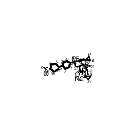 C[S+]([O-])c1ccc(-c2ccc([C@](C#CC3CC3)(C[C@@H](CS(C)(=O)=O)C(=O)NC3(C#N)CC3)C(F)(F)F)cc2)cc1